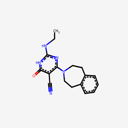 CCNc1nc(N2CCc3ccccc3CC2)c(C#N)c(=O)[nH]1